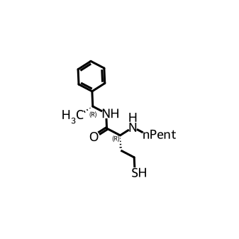 CCCCCN[C@H](CCS)C(=O)N[C@H](C)c1ccccc1